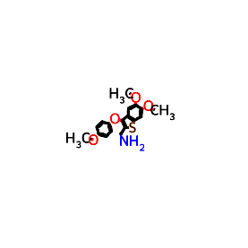 COc1ccc(Oc2c(CN)sc3cc(OC)c(OC)cc23)cc1